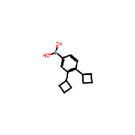 OB(O)c1ccc(C2CCC2)c(C2CCC2)c1